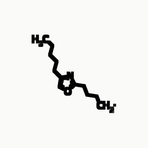 [CH2]CCCc1nc(CCCCC)co1